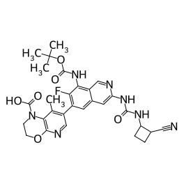 Cc1c(-c2cc3cc(NC(=O)NC4CCC4C#N)ncc3c(NC(=O)OC(C)(C)C)c2F)cnc2c1N(C(=O)O)CCO2